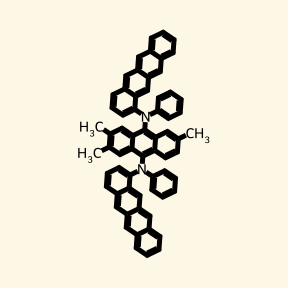 Cc1ccc2c(N(c3ccccc3)c3cccc4cc5cc6ccccc6cc5cc34)c3cc(C)c(C)cc3c(N(c3ccccc3)c3cccc4cc5cc6ccccc6cc5cc34)c2c1